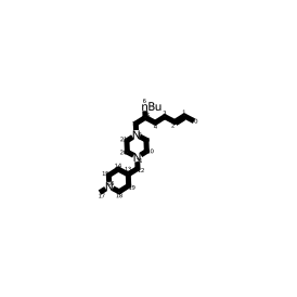 C/C=C/CCC(CCCC)CN1CCN(CC2CCN(C)CC2)CC1